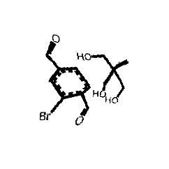 CC(CO)(CO)CO.O=Cc1ccc(C=O)c(Br)c1